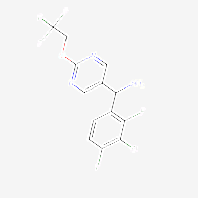 NC(c1cnc(OCC(F)(F)F)nc1)c1ccc(F)c(Cl)c1F